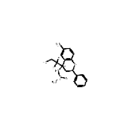 CC(C)(C)[S@@+]([O-])N[C@]1(C(F)(F)CO)CC(c2ccccc2)Oc2ccc([N+](=O)[O-])cc21